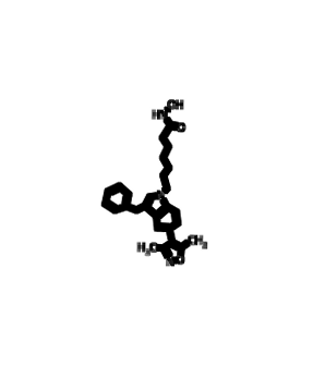 Cc1noc(C)c1-c1ccc2c(c1)c(Cc1ccccc1)cn2CCCCCCC(=O)NO